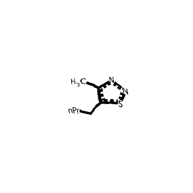 C[CH]CCc1snnc1C